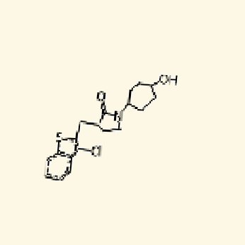 O=C1C(Cc2sc3ccccc3c2Cl)CCN1C1CCC(O)CC1